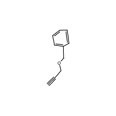 C#CCO[CH]c1ccccc1